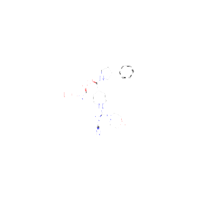 N#C/N=C(\N1CCOCC1)N1CC[C@H](C(=O)N2CC[C@H](c3ccccc3)C2)[C@@H](C(=O)NO)C1